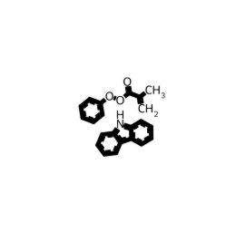 C=C(C)C(=O)OOc1ccccc1.c1ccc2c(c1)[nH]c1ccccc12